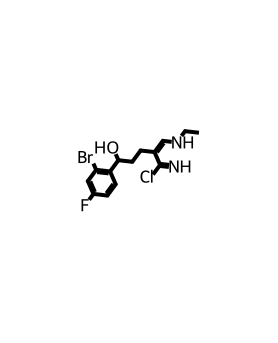 CCN/C=C(/CCC(O)c1ccc(F)cc1Br)C(=N)Cl